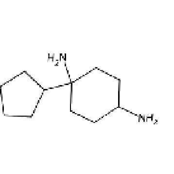 NC1CCC(N)(C2CCCC2)CC1